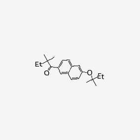 CCC(C)(C)Oc1ccc2cc(C(=O)C(C)(C)CC)ccc2c1